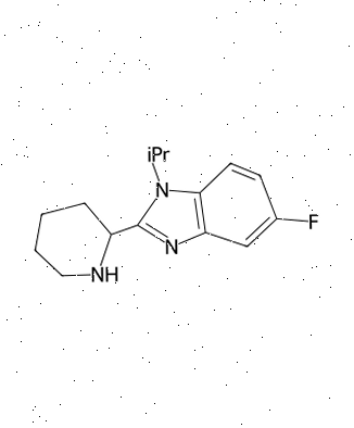 CC(C)n1c(C2CCCCN2)nc2cc(F)ccc21